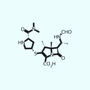 C[C@@H](NC=O)[C@H]1C(=O)N2C(C(=O)O)=C(S[C@@H]3CN[C@H](C(=O)N(C)C)C3)[C@H](C)[C@]12C